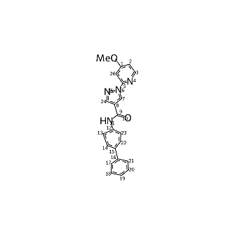 COc1ccnc(-n2cc(C(=O)Nc3ccc(-c4ccccc4)cc3)cn2)c1